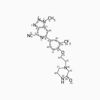 Cn1nnc2c(C#N)nc(-c3ccc(OCCN4CCNC(=O)C4)c(C(F)(F)F)c3)cc21